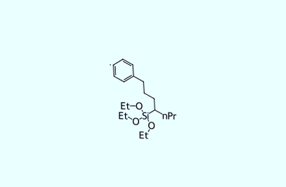 CCCC(CCCc1cc[c]cc1)[Si](OCC)(OCC)OCC